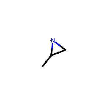 CC1C[N]1